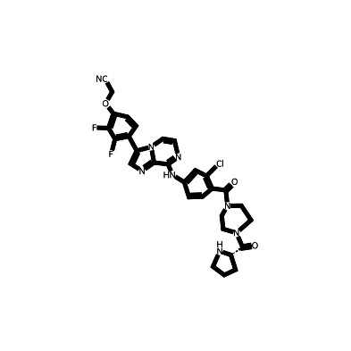 N#CCOc1ccc(-c2cnc3c(Nc4ccc(C(=O)N5CCN(C(=O)[C@@H]6CCCN6)CC5)c(Cl)c4)nccn23)c(F)c1F